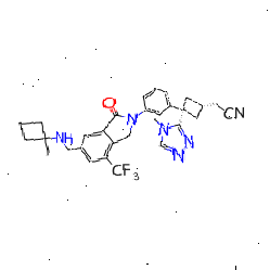 Cn1cnnc1[C@]1(c2cccc(N3Cc4c(cc(CNC5(C)CCC5)cc4C(F)(F)F)C3=O)c2)C[C@H](CC#N)C1